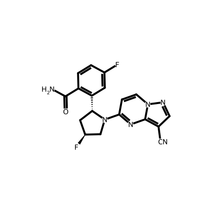 N#Cc1cnn2ccc(N3C[C@@H](F)C[C@@H]3c3cc(F)ccc3C(N)=O)nc12